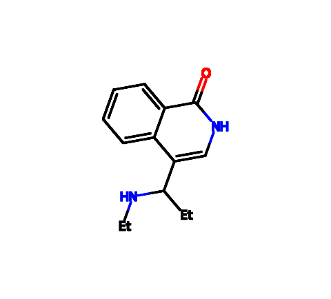 CCNC(CC)c1c[nH]c(=O)c2ccccc12